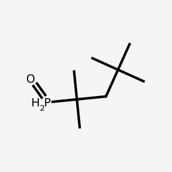 CC(C)(C)CC(C)(C)[PH2]=O